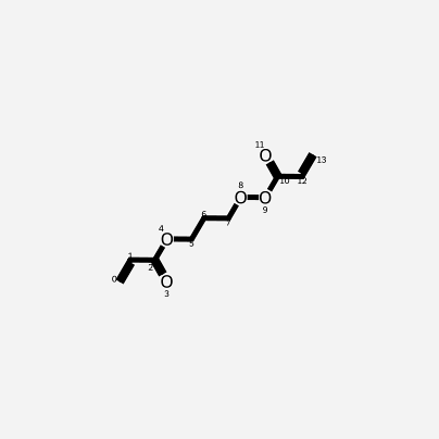 C=CC(=O)OCCCOOC(=O)C=C